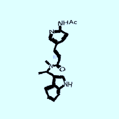 CC(=O)Nc1ccc(/C=C/C(=O)N(C)C(C)c2c[nH]c3ccccc23)cn1